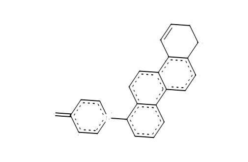 O=c1ccn(-c2cccc3c2ccc2c4c(ccc23)CCC=C4)cc1